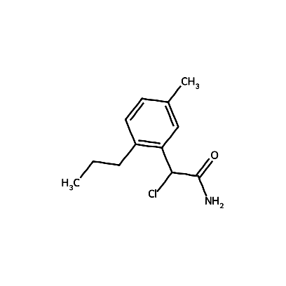 CCCc1ccc(C)cc1C(Cl)C(N)=O